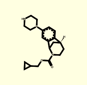 O=C(OCC1CC1)N1CC[C@H]2CC1c1cc(N3CCNCC3)ccc12